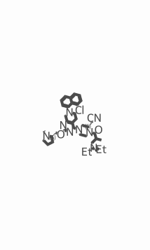 CCN(CC)CC(C)C(=O)N1CCN(c2nc(OC[C@@H]3CCCN3C)nc3c2CCN(c2cccc4cccc(Cl)c24)C3)C[C@@H]1CC#N